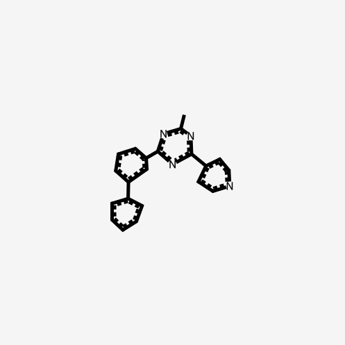 Cc1nc(-c2ccncc2)nc(-c2cccc(-c3ccccc3)c2)n1